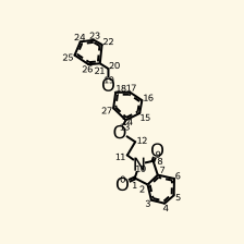 O=C1c2ccccc2C(=O)N1CCOc1cccc(OCc2ccccc2)c1